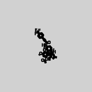 C=CC[N+]1(CC(C)C)CC[C@]23c4c5c(OC(C)=O)cc(OC)c4O[C@H]2[C@H](NC(=O)C#Cc2ccc(C(F)(F)F)cc2)CC[C@H]3[C@H]1C5